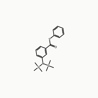 C[Si](C)(C)N(c1cccc(C(=O)Sc2ccccc2)c1)[Si](C)(C)C